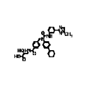 Cn1nnc(-c2cccc(NC(=O)N(Cc3ccc(C(=O)NC[C@@H](O)C(=O)O)cc3)c3ccc(C4=CCCCC4)cc3)c2)n1